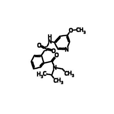 CCN(C(=O)c1ccccc1S(=O)(=O)Nc1cncc(OC)c1)C(C)C